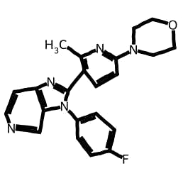 Cc1nc(N2CCOCC2)ccc1-c1nc2ccncc2n1-c1ccc(F)cc1